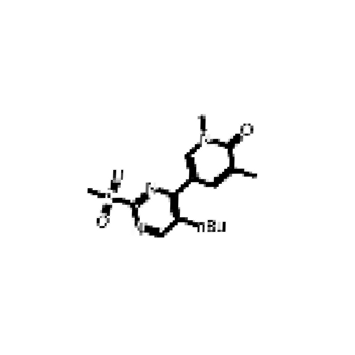 CCCCc1cnc(S(C)(=O)=O)nc1-c1cc(C)c(=O)n(C)c1